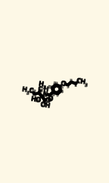 CCCCOc1ccc(C(=O)NC(O)(C(=O)O)C(C)CC)cc1